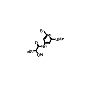 CCCCC(O)C(=O)Nc1cc(Br)nc(OC)c1